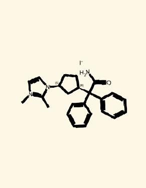 Cc1n([C@H]2CC[C@@H](C(C(N)=O)(c3ccccc3)c3ccccc3)C2)cc[n+]1C.[I-]